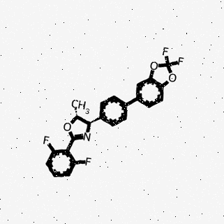 C[C@H]1OC(c2c(F)cccc2F)=N[C@@H]1c1ccc(-c2ccc3c(c2)OC(F)(F)O3)cc1